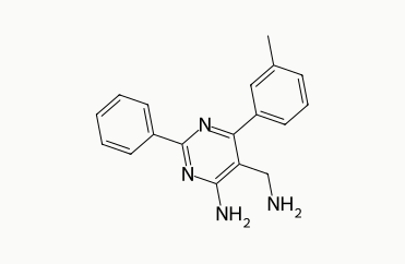 Cc1cccc(-c2nc(-c3ccccc3)nc(N)c2CN)c1